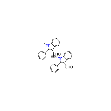 CCCCn1c(-c2ccccc2)c(C=O)c2ccccc21.Cn1c(-c2ccccc2)c(C=O)c2ccccc21